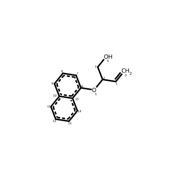 C=CC(CO)Oc1cccc2ccccc12